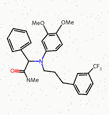 CNC(=O)C(c1ccccc1)N(CCCc1cccc(C(F)(F)F)c1)c1ccc(OC)c(OC)c1